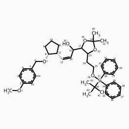 COc1ccc(CO[C@@H]2CCC[C@@H]2/C=C\C(O)C2OC(C)(C)OC2CCO[Si](c2ccccc2)(c2ccccc2)C(C)(C)C)cc1